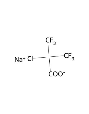 O=C([O-])C(Cl)(C(F)(F)F)C(F)(F)F.[Na+]